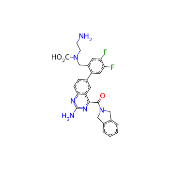 NCCN(Cc1cc(F)c(F)cc1-c1ccc2nc(N)nc(C(=O)N3Cc4ccccc4C3)c2c1)C(=O)O